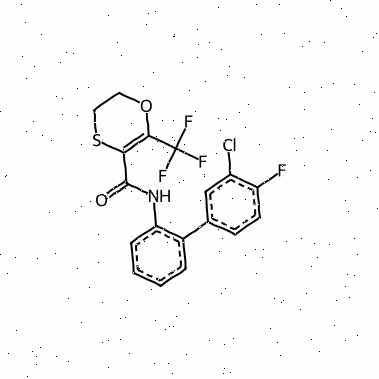 O=C(Nc1ccccc1-c1ccc(F)c(Cl)c1)C1=C(C(F)(F)F)OCCS1